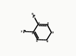 FC1=[C]CC[C]=C1F